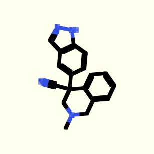 CN1Cc2ccccc2C(C#N)(c2ccc3[nH]ncc3c2)C1